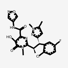 Cc1cc([C@H](c2cc(F)ccc2Cl)[C@@H](C)c2nc(C(=O)Nc3cnoc3)c(O)c(=O)n2C)nn1C